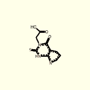 O=C(O)Cn1c(=S)[nH]c2ncccc2c1=O